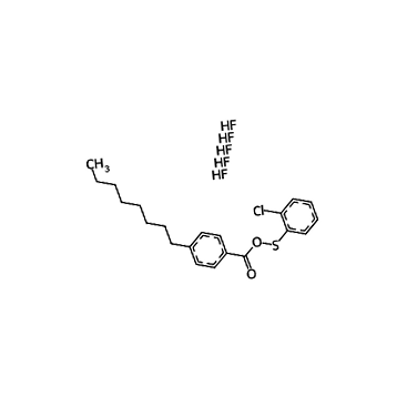 CCCCCCCCc1ccc(C(=O)OSc2ccccc2Cl)cc1.F.F.F.F.F